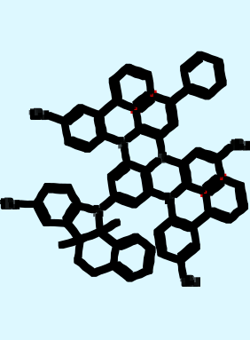 CC(C)(C)c1ccc2c(c1)B1c3cc(-c4ccccc4)ccc3N(c3ccc(C(C)(C)C)cc3-c3ccccc3)c3cc(N4c5ccc(C(C)(C)C)cc5C5(C)CCc6ccccc6C45C)cc(c31)N2c1ccc(C(C)(C)C)cc1-c1ccccc1